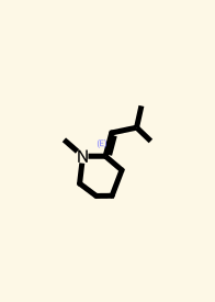 CC(C)/C=C1\CCCCN1C